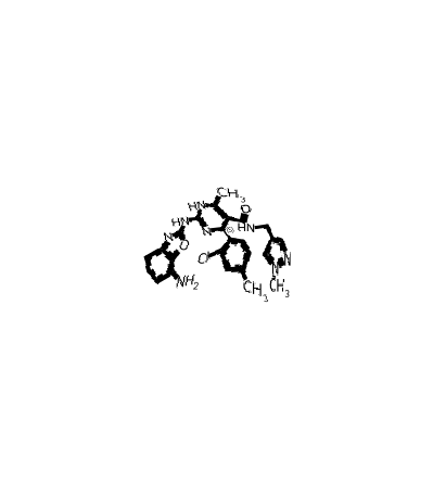 CC1=C(C(=O)NCc2cnn(C)c2)[C@@H](c2ccc(C)cc2Cl)N=C(Nc2nc3cccc(N)c3o2)N1